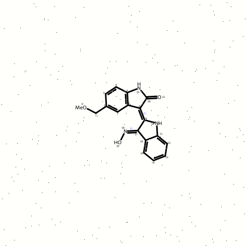 COCc1ccc2c(c1)/C(=C1/Nc3ccccc3/C1=N\O)C(=O)N2